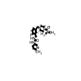 Cc1ccc(NC(=O)NCc2cc(CN3CCN(C(=O)N(C)C)CC3)ccc2F)cn1